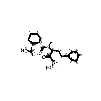 CN(C(=O)[C@H]1CCCC[C@@H]1C(=O)O)C(CCc1ccccc1)C(=O)NO